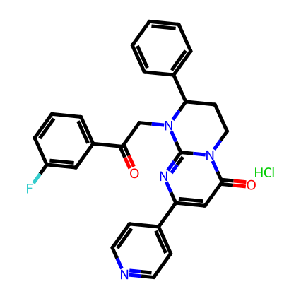 Cl.O=C(CN1c2nc(-c3ccncc3)cc(=O)n2CCC1c1ccccc1)c1cccc(F)c1